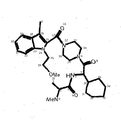 CNC(C)C(=O)NC(C(=O)N1CCN(C(=O)c2c(C)c3ccccc3n2CCOC)CC1)C1CCCCC1